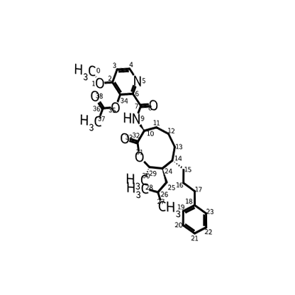 COc1ccnc(C(=O)N[C@H]2CCC[C@H](CCCc3ccccc3)[C@@H](CC(C)C)[C@H](C)OC2=O)c1OC(C)=O